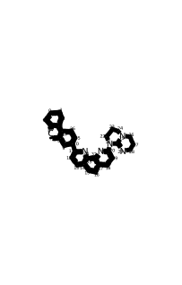 c1ccc2c(c1)ccc1cc(-c3ccc4ccc5ccc(N6CCCN7CCCN=C76)nc5c4n3)ccc12